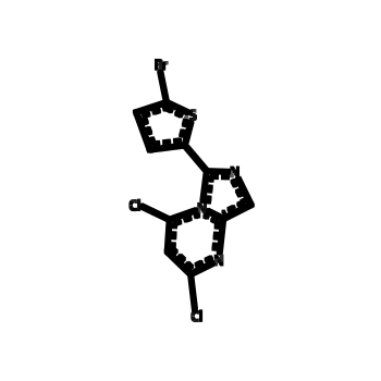 Clc1cc(Cl)n2c(-c3ccc(Br)s3)ncc2n1